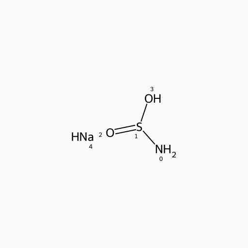 NS(=O)O.[NaH]